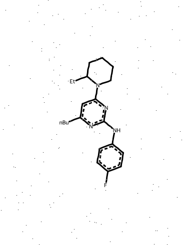 CCCCc1cc(N2CCCCC2CC)nc(Nc2ccc(F)cc2)n1